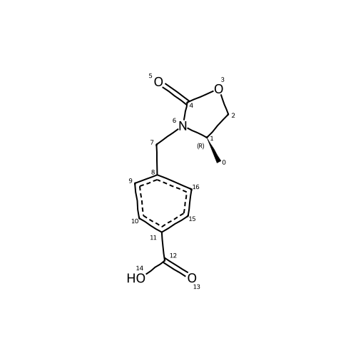 C[C@@H]1COC(=O)N1Cc1ccc(C(=O)O)cc1